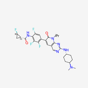 CC(C)n1c(=O)c(-c2cc(F)c(NC(=O)[C@@H]3C[C@H]3F)c(F)c2F)cc2cnc(N[C@H]3CC[C@H](N(C)C)CC3)nc21